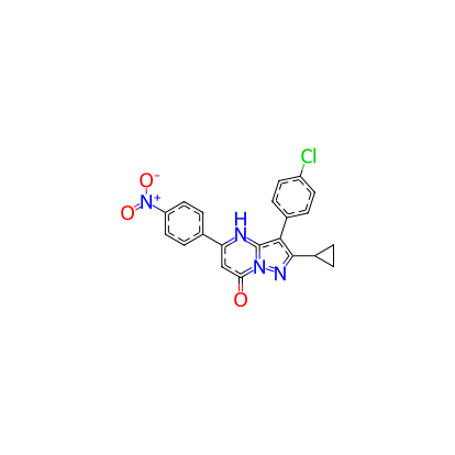 O=c1cc(-c2ccc([N+](=O)[O-])cc2)[nH]c2c(-c3ccc(Cl)cc3)c(C3CC3)nn12